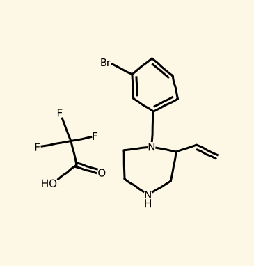 C=CC1CNCCN1c1cccc(Br)c1.O=C(O)C(F)(F)F